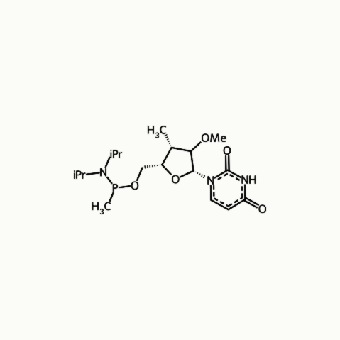 COC1[C@@H](C)[C@@H](COP(C)N(C(C)C)C(C)C)O[C@H]1n1ccc(=O)[nH]c1=O